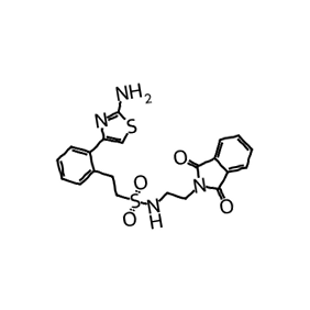 Nc1nc(-c2ccccc2CCS(=O)(=O)NCCN2C(=O)c3ccccc3C2=O)cs1